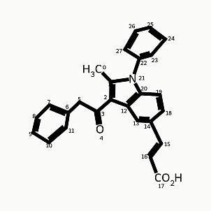 Cc1c(C(=O)Cc2ccccc2)c2cc(C=CC(=O)O)ccc2n1-c1ccccc1